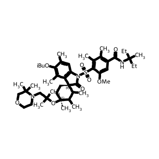 CCC(C)(CC)NC(=O)c1cc(OC)c(S(=O)(=O)N2C(=O)[C@@]3(CC[C@](C)(OC(C)(C)CN4CCOCC4(C)C)C(C)C3C)c3c2cc(C)c(OCC(C)C)c3C)c(C)c1C